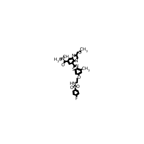 COCc1cnc2c(-c3nc4c(C)cc(OCCNS(=O)(=O)c5ccc(F)cc5)cc4s3)cc(C(=O)N(C)C)cc2n1